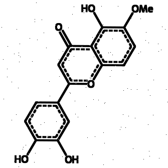 COc1ccc2oc(-c3ccc(O)c(O)c3)cc(=O)c2c1O